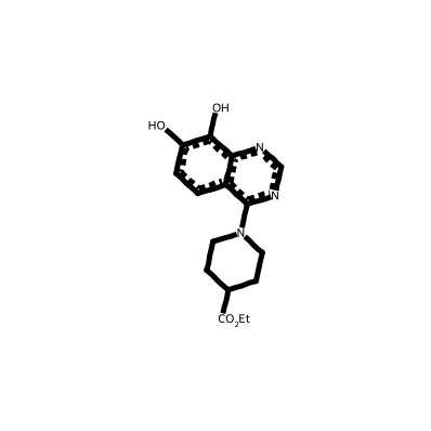 CCOC(=O)C1CCN(c2ncnc3c(O)c(O)ccc23)CC1